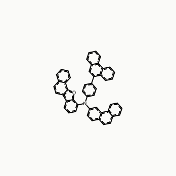 c1ccc2c(c1)ccc1ccc(N(c3ccc(-c4cc5ccccc5c5ccccc45)cc3)c3cccc4c3oc3c5ccccc5ccc43)cc12